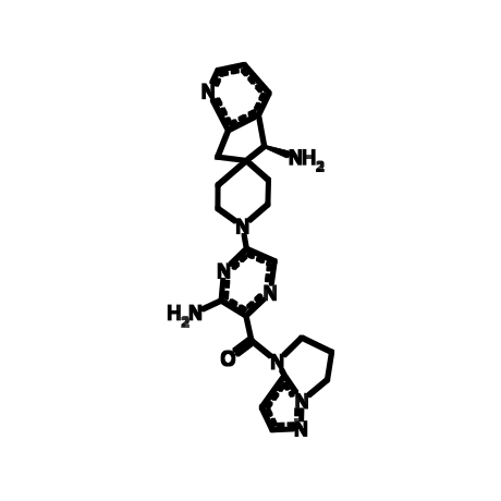 Nc1nc(N2CCC3(CC2)Cc2ncccc2[C@H]3N)cnc1C(=O)N1CCCn2nccc21